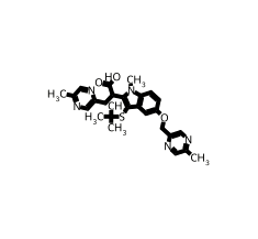 Cc1cnc(COc2ccc3c(c2)c(SC(C)(C)C)c(C(Cc2cnc(C)cn2)C(=O)O)n3C)cn1